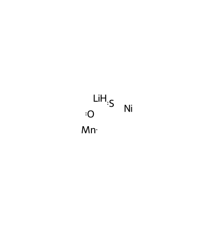 [LiH].[Mn].[Ni].[O].[S]